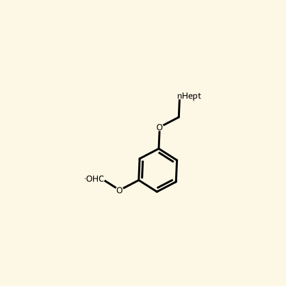 CCCCCCCCOc1cccc(O[C]=O)c1